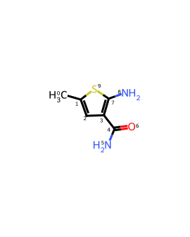 Cc1cc(C(N)=O)c(N)s1